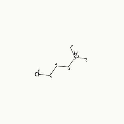 C[SH](C)CCCCl